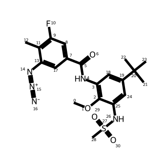 COc1c(NC(=O)c2cc(F)c(C)c(N=[N+]=[N-])c2)cc(C(C)(C)C)cc1NS(C)(=O)=O